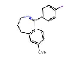 COc1ccc2c(c1)CCCN=C2c1ccc(I)cc1